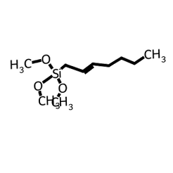 CCCCC=CC[Si](OC)(OC)OC